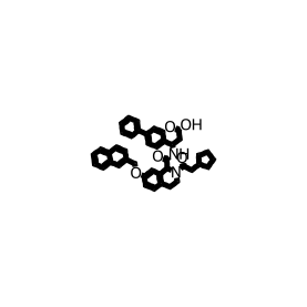 O=C(O)CC(NC(=O)C1c2cc(OCc3ccc4ccccc4c3)ccc2CCN1C(=O)CC1CCCC1)c1ccc(-c2ccccc2)cc1